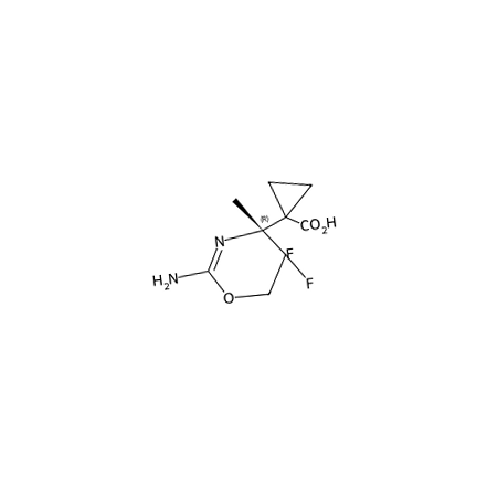 C[C@]1(C2(C(=O)O)CC2)N=C(N)OCC1(F)F